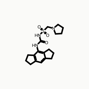 O=C(Nc1c2c(cc3c1CCC3)CCC2)NS(=O)(=O)CN1CCCC1